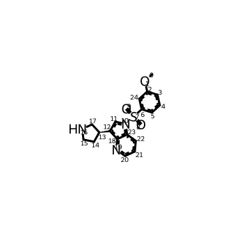 COc1cccc(S(=O)(=O)n2cc([C@H]3CCNC3)c3ncccc32)c1